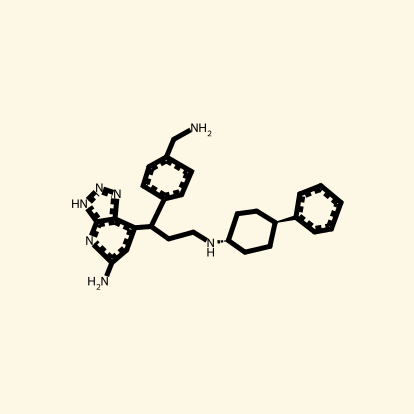 NCc1ccc(C(CCN[C@H]2CC[C@H](c3ccccc3)CC2)c2cc(N)nc3[nH]nnc23)cc1